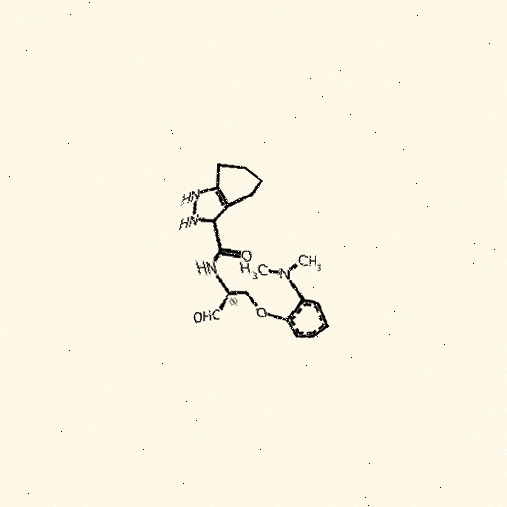 CN(C)c1ccccc1OC[C@@H](C=O)NC(=O)C1NNC2=C1CCCC2